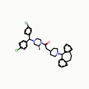 C[C@H]1CN(C(c2ccc(Cl)cc2)c2ccc(Cl)cc2)CCN1C(=O)CC1CCN(C2c3ccccc3CCc3ccccc32)CC1